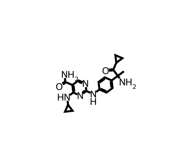 CC(N)(C(=O)C1CC1)c1ccc(Nc2ncc(C(N)=O)c(NC3CC3)n2)cc1